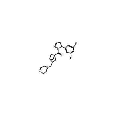 O=C(N1N=CCC1c1cc(F)cc(F)c1)C12CC(CN3CCOCC3)C(C1)C2